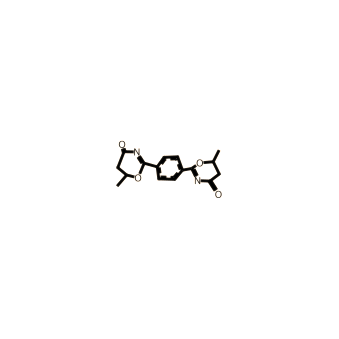 CC1CC(=O)N=C(c2ccc(C3=NC(=O)CC(C)O3)cc2)O1